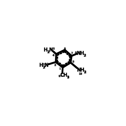 Cc1c(N)c(N)cc(N)c1N